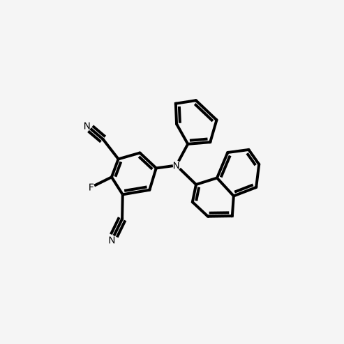 N#Cc1cc(N(c2ccccc2)c2cccc3ccccc23)cc(C#N)c1F